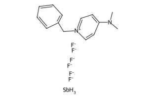 CN(C)c1cc[n+](Cc2ccccc2)cc1.[F-].[F-].[F-].[F-].[F-].[F-].[SbH3]